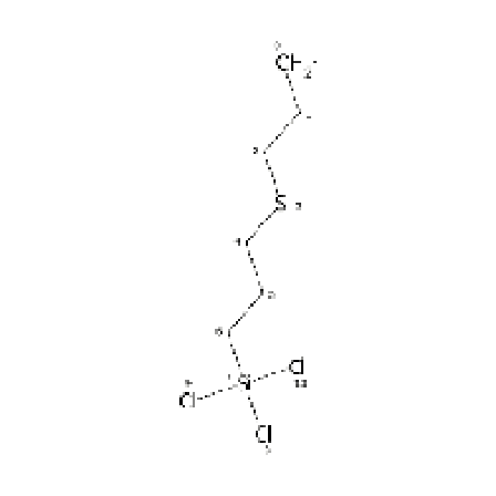 [CH2]CCSCCC[Si](Cl)(Cl)Cl